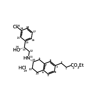 CCOC(=O)CCc1ccc2c(c1)C[C@@H](NC[C@H](O)c1cccc(Cl)c1)CC2.Cl